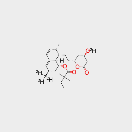 [2H]O[C@H]1CC(=O)OC(CC[C@@H]2[C@@H]3C(=C[C@H](C([2H])([2H])[2H])C[C@@H]3OC(=O)C(C)(C)CC)C=C[C@@H]2C)C1